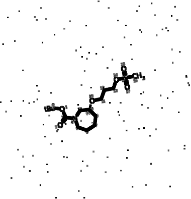 CC(C)(C)OC(=O)N1CCCC[C@@H](OCCCOS(C)(=O)=O)C1